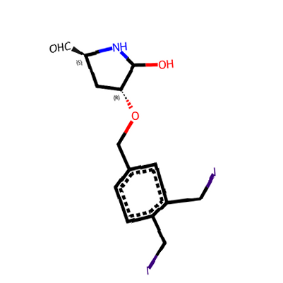 O=C[C@@H]1C[C@@H](OCc2ccc(CI)c(CI)c2)C(O)N1